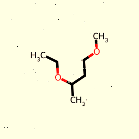 [CH2]C(C[CH]OC)OCC